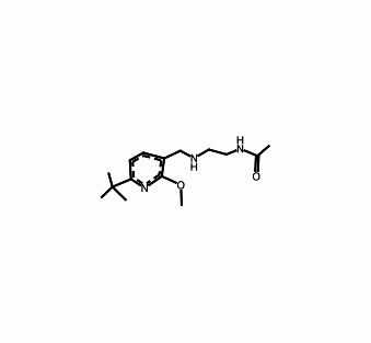 COc1nc(C(C)(C)C)ccc1CNCCNC(C)=O